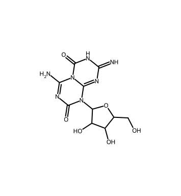 N=c1nc2n(C3OC(CO)C(O)C3O)c(=O)nc(N)n2c(=O)[nH]1